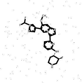 COc1cc2ncc(-c3cccc(N[C@H]4CCNC[C@@H]4F)n3)n2cc1-c1cnn(C(F)F)c1